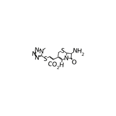 Cn1nnnc1SC=CC1=C(C(=O)O)N2C(=O)C(N)C2SC1